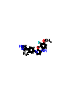 COc1ccc(NC2CCN(c3ccc(-c4cn[nH]c4)c(C)c3)C2=O)cc1F